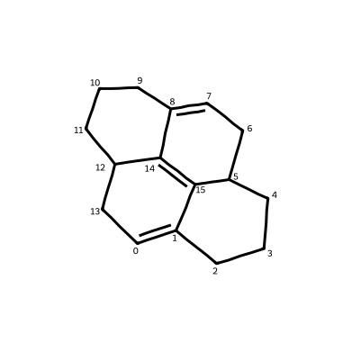 C1=C2CCCC3CC=C4CCCC(C1)C4=C23